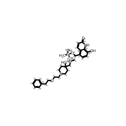 CC(C)(C)[Si](C)(C)O[C@@H](CNCC1(O)CCN(CCOCCc2ccccc2)CC1)c1ccc(O)c2[nH]c(=O)ccc12